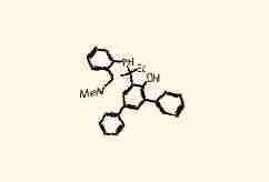 CCC(C)(Pc1ccccc1CNC)c1cc(-c2ccccc2)cc(-c2ccccc2)c1O